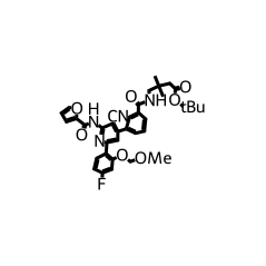 COCOc1cc(F)ccc1-c1cc(-c2cccc(C(=O)NCC(C)(C)CC(=O)OC(C)(C)C)c2)c(C#N)c(NC(=O)c2ccco2)n1